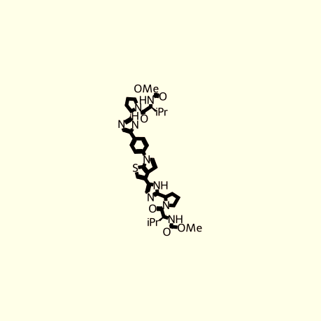 COC(=O)N[C@H](C(=O)N1CCCC1c1ncc(-c2csc3c2ccn3-c2ccc(-c3cnc([C@@H]4CCCN4C(=O)[C@@H](NC(=O)OC)C(C)C)[nH]3)cc2)[nH]1)C(C)C